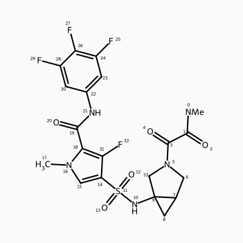 CNC(=O)C(=O)N1CC2CC2(NS(=O)(=O)c2cn(C)c(C(=O)Nc3cc(F)c(F)c(F)c3)c2F)C1